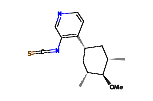 CO[C@H]1[C@H](C)C[C@H](c2ccncc2N=C=S)C[C@@H]1C